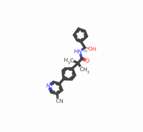 CC(C)(C(=O)N[C@@H](O)c1ccccc1)c1ccc(-c2cncc(C#N)c2)cc1